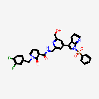 O=C(NCc1cc(-c2cn(S(=O)(=O)c3ccccc3)c3ncccc23)cc(CO)n1)c1cccn(Cc2ccc(F)c(F)c2)c1=O